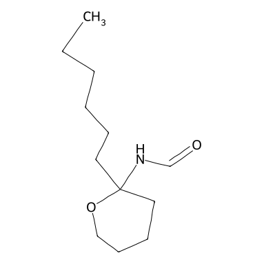 CCCCCCC1(NC=O)CCCCO1